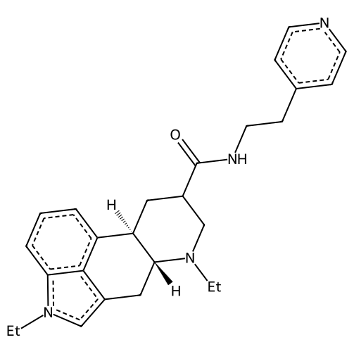 CCN1CC(C(=O)NCCc2ccncc2)C[C@@H]2c3cccc4c3c(cn4CC)C[C@H]21